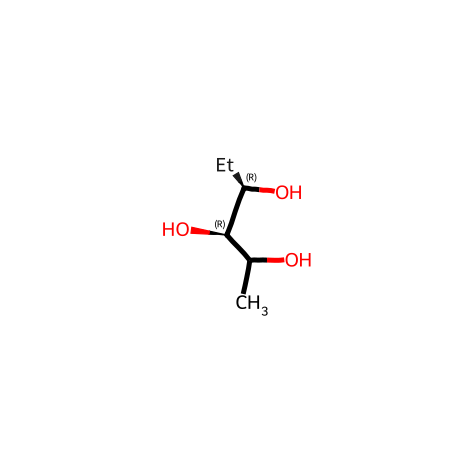 CC[C@@H](O)[C@H](O)C(C)O